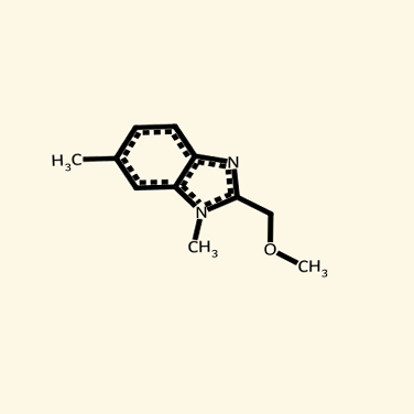 COCc1nc2ccc(C)cc2n1C